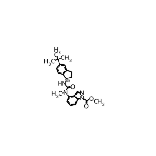 COC(=O)n1ncc2c(N(C)C(=O)N[C@H]3CCc4cc(C(C)(C)C)ccc43)cccc21